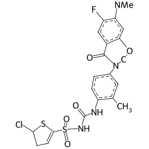 CNc1cc2c(cc1F)C(=O)N(c1ccc(NC(=O)NS(=O)(=O)C3=CCC(Cl)S3)c(C)c1)CO2